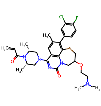 C=CC(=O)N1[C@H](C)CN(c2nc(=O)n3c4c(c(-c5ccc(F)c(Cl)c5)c(C)cc24)SCC(OCCN(C)C)C3)C[C@@H]1C